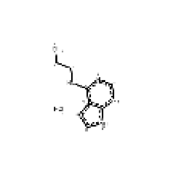 Cl.NCCNc1ncnc2[nH]ccc12